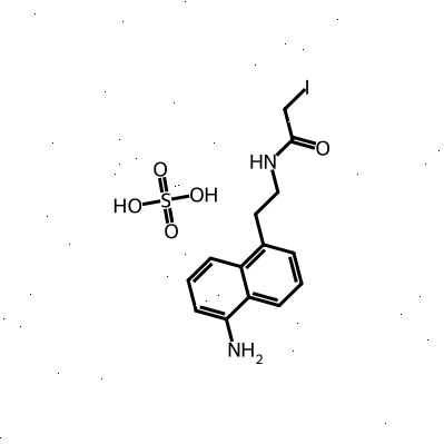 Nc1cccc2c(CCNC(=O)CI)cccc12.O=S(=O)(O)O